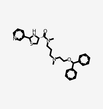 CN(CCCN(C)C(=O)[C@@H]1CSC(c2cccnc2)N1)CCOC(c1ccccc1)c1ccccc1